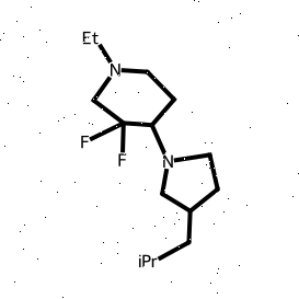 CCN1CCC(N2CCC(CC(C)C)C2)C(F)(F)C1